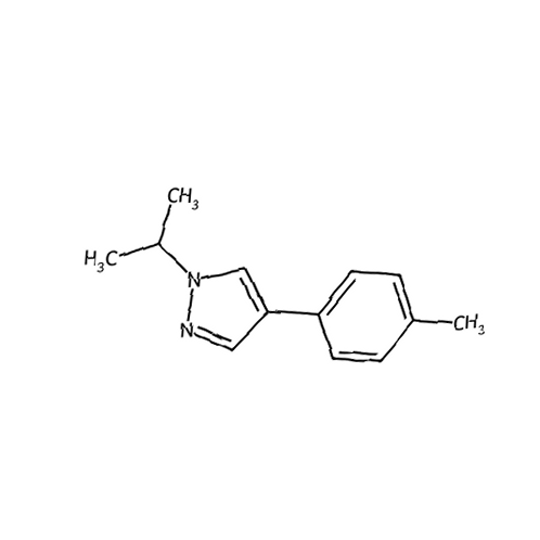 Cc1ccc(-c2cnn(C(C)C)c2)cc1